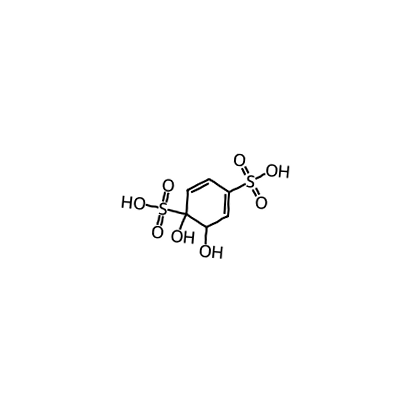 O=S(=O)(O)C1=CC(O)C(O)(S(=O)(=O)O)C=C1